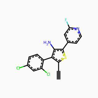 C#Cc1sc(-c2ccnc(F)c2)c(N)c1-c1ccc(Cl)cc1Cl